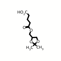 CC1(C)OCC(COC(=O)CCCC(=O)O)O1